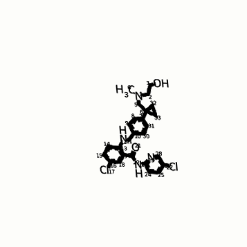 CN(CCO)CC1(c2ccc(CNc3ccc(Cl)cc3C(=O)Nc3ccc(Cl)cn3)cc2)CC1